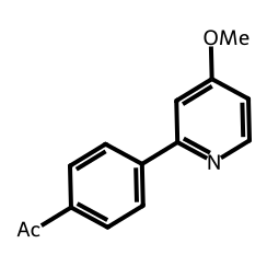 COc1ccnc(-c2ccc(C(C)=O)cc2)c1